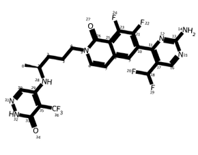 C[C@@H](CCCn1ccc2cc(-c3nc(N)ncc3C(F)F)c(F)c(F)c2c1=O)Nc1cn[nH]c(=O)c1C(F)(F)F